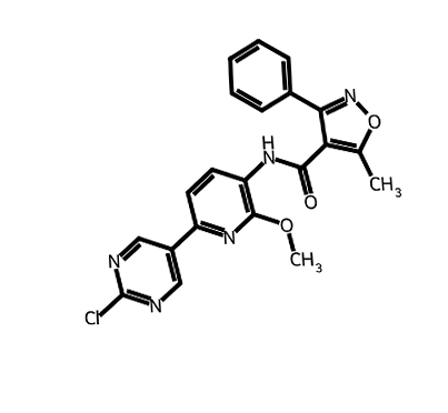 COc1nc(-c2cnc(Cl)nc2)ccc1NC(=O)c1c(-c2ccccc2)noc1C